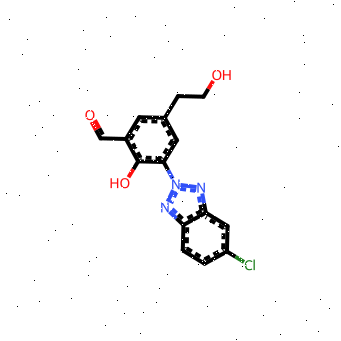 O=Cc1cc(CCO)cc(-n2nc3ccc(Cl)cc3n2)c1O